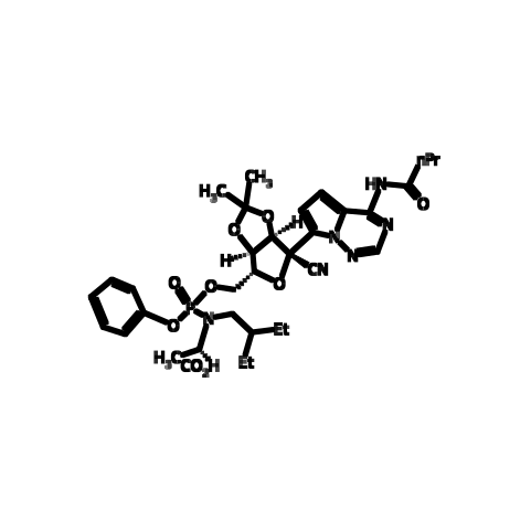 CCCC(=O)Nc1ncnn2c([C@]3(C#N)O[C@H](COP(=O)(Oc4ccccc4)N(CC(CC)CC)[C@@H](C)C(=O)O)[C@H]4OC(C)(C)O[C@H]43)ccc12